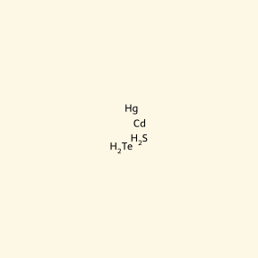 S.[Cd].[Hg].[TeH2]